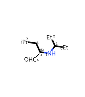 CCC(CC)N[C@H](C=O)CC(C)C